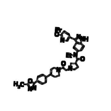 CCN(C(=O)C1CCN(CC(=O)N2CC=C(c3ccc(-c4nnc(C)o4)cc3)CC2)C1)c1ccc2[nH]nc(-c3ccc(OC(C)C)nc3)c2c1